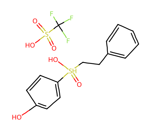 O=S(=O)(O)C(F)(F)F.O=[SH](O)(CCc1ccccc1)c1ccc(O)cc1